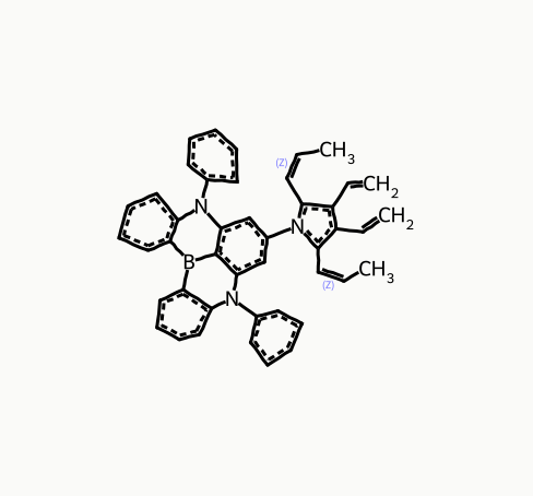 C=Cc1c(C=C)c(/C=C\C)n(-c2cc3c4c(c2)N(c2ccccc2)c2ccccc2B4c2ccccc2N3c2ccccc2)c1/C=C\C